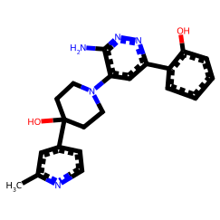 Cc1cc(C2(O)CCN(c3cc(-c4ccccc4O)nnc3N)CC2)ccn1